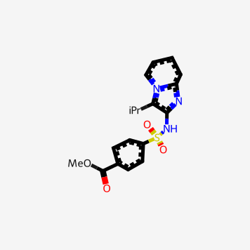 COC(=O)c1ccc(S(=O)(=O)Nc2nc3ccccn3c2C(C)C)cc1